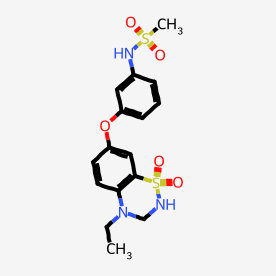 CCN1CNS(=O)(=O)c2cc(Oc3cccc(NS(C)(=O)=O)c3)ccc21